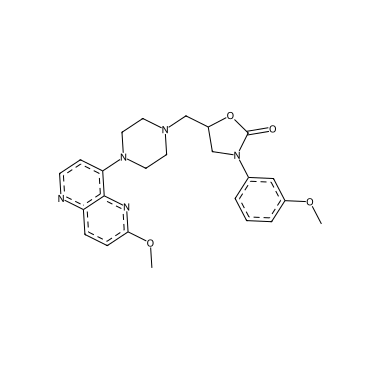 COc1cccc(N2CC(CN3CCN(c4ccnc5ccc(OC)nc45)CC3)OC2=O)c1